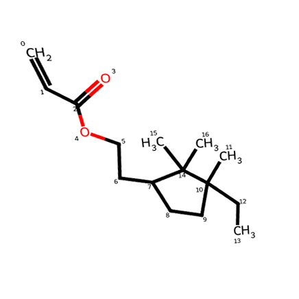 C=CC(=O)OCCC1CCC(C)(CC)C1(C)C